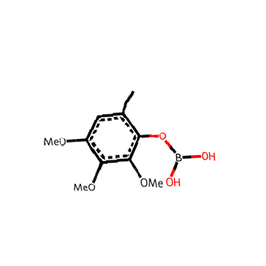 COc1cc(C)c(OB(O)O)c(OC)c1OC